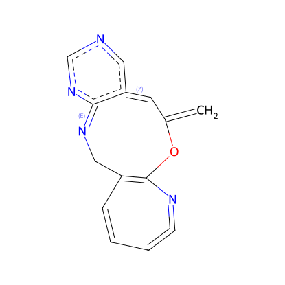 C=C1/C=c2/cncn/c2=N/CC2=C(N=C=CC=C2)O1